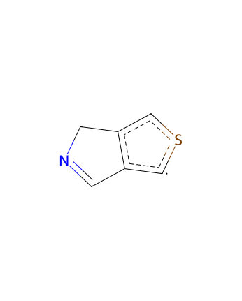 [c]1scc2c1C=NC2